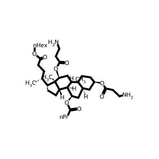 CCCCCCOC(=O)CC[C@@H](C)[C@H]1CC[C@H]2[C@@H]3[C@H](OC(=O)CCC)C[C@@H]4C[C@H](OC(=O)CCN)CC[C@]4(C)[C@H]3C[C@H](OC(=O)CCN)[C@]12C